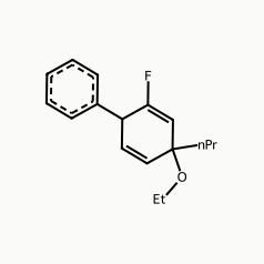 CCCC1(OCC)C=CC(c2ccccc2)C(F)=C1